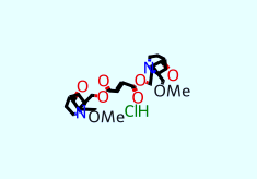 COCC1(COC(=O)/C=C/C(=O)OCC2(COC)C(=O)C3CCN2CC3)C(=O)C2CCN1CC2.Cl